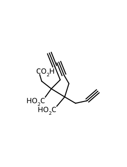 C#CCC(CC#C)(C(=O)O)C(CC#C)(CC(=O)O)C(=O)O